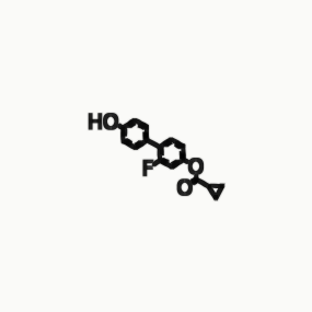 O=C(Oc1ccc(-c2ccc(O)cc2)c(F)c1)C1CC1